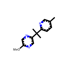 COc1cnc(C(C)(C)c2ccc(C)cn2)cn1